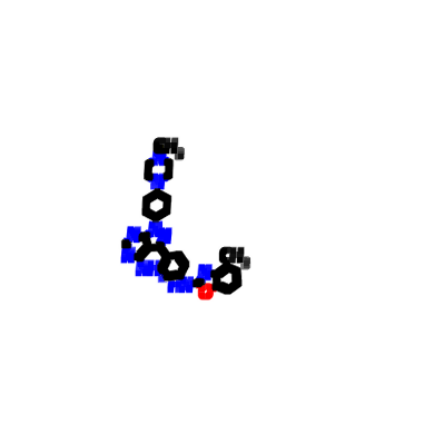 Cc1cccc2oc(Nc3ccc(-c4nn([C@H]5CC[C@@H](N6CCN(C)CC6)CC5)c5ncnc(N)c45)cc3)nc12